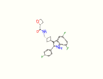 O=C(NC[C@H]1C[C@H](c2c(-c3ccc(F)cc3)[nH]c3c(F)cc(F)cc32)C1)C1CCO1